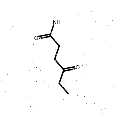 CCC(=O)CCC([NH])=O